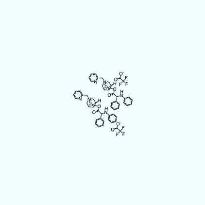 O=C(O[C@H]1C[N+]2(Cc3ccccn3)CCC1CC2)C(Nc1ccccc1)c1ccccc1.O=C(O[C@H]1C[N+]2(Cc3ccccn3)CCC1CC2)C(Nc1ccccc1)c1ccccc1.O=C([O-])C(F)(F)F.O=C([O-])C(F)(F)F